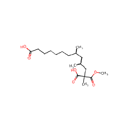 COC(=O)C(C)(CC(C)CC(C)CCCCCCC(=O)O)C(=O)O